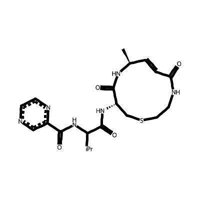 CC(C)C(NC(=O)c1cnccn1)C(=O)N[C@H]1CSCCNC(=O)/C=C/[C@H](C)NC1=O